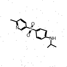 Cc1ccc(S(=O)(=O)c2ccc(NC(C)C)cc2)cn1